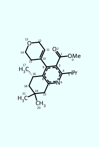 COC(=O)c1c(C(C)C)nc2c(c1C1=CCOCC1)[C@@H](C)CC(C)(C)C2